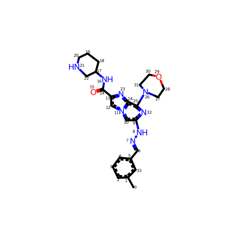 Cc1cccc(/C=N/Nc2cn3cc(C(=O)NC4CCCNC4)nc3c(N3CCOCC3)n2)c1